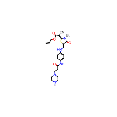 C=CCOC(=O)C(C#N)=c1sc(=CNc2ccc(NC(=O)CCN3CCN(C)CC3)cc2)c(=O)n1CC